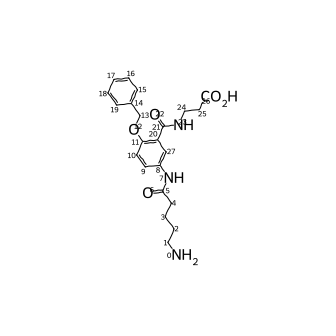 NCCCCC(=O)Nc1ccc(OCc2ccccc2)c(C(=O)NCCC(=O)O)c1